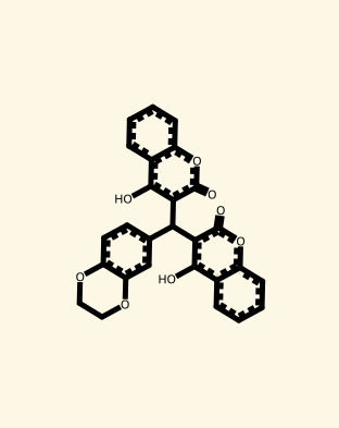 O=c1oc2ccccc2c(O)c1C(c1ccc2c(c1)OCCO2)c1c(O)c2ccccc2oc1=O